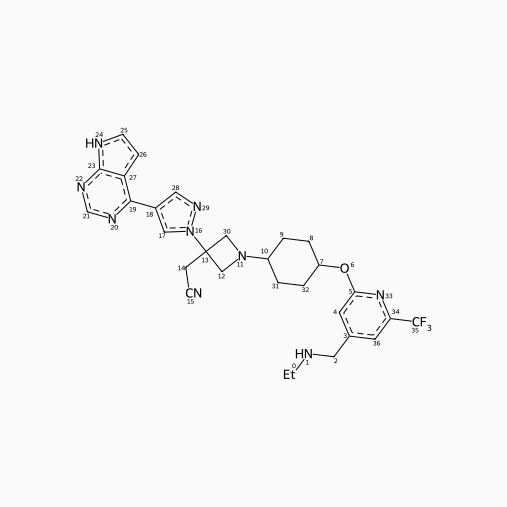 CCNCc1cc(OC2CCC(N3CC(CC#N)(n4cc(-c5ncnc6[nH]ccc56)cn4)C3)CC2)nc(C(F)(F)F)c1